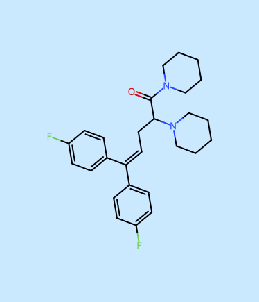 O=C(C(CC=C(c1ccc(F)cc1)c1ccc(F)cc1)N1CCCCC1)N1CCCCC1